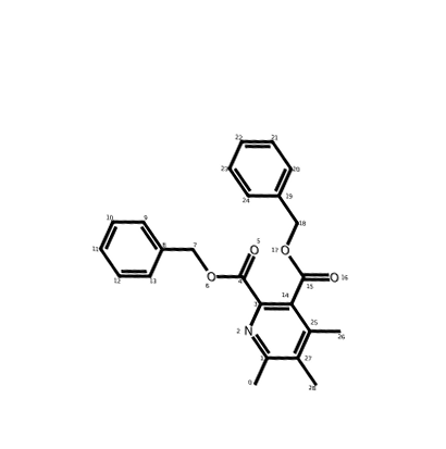 Cc1nc(C(=O)OCc2ccccc2)c(C(=O)OCc2ccccc2)c(C)c1C